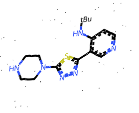 CC(C)(C)Nc1ccncc1-c1nnc(N2CCNCC2)s1